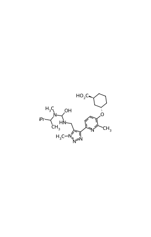 Cc1nc(-c2nnn(C)c2CNC(O)N(C)C(C)C(C)C)ccc1O[C@H]1CCC[C@H](C(=O)O)C1